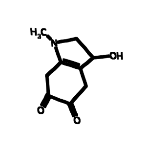 CN1CC(O)C2=C1CC(=O)C(=O)C2